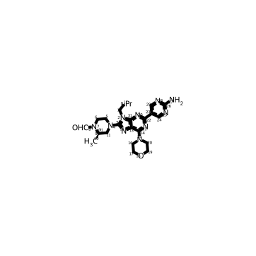 CC(C)Cn1c(N2CCN(C=O)[C@H](C)C2)nc2c(N3CCOCC3)nc(-c3cnc(N)nc3)nc21